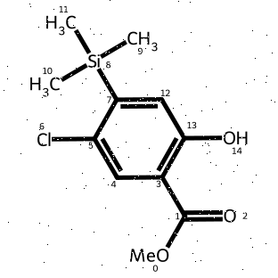 COC(=O)c1cc(Cl)c([Si](C)(C)C)cc1O